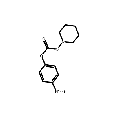 CCCCCc1ccc(OC(=O)ON2CCCCC2)cc1